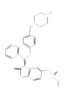 CCS(=O)(=O)Nc1ccc2c(c1)C(=C(Nc1ccc(CN3CCN(C)CC3)cc1)c1ccccc1)C(=O)N2